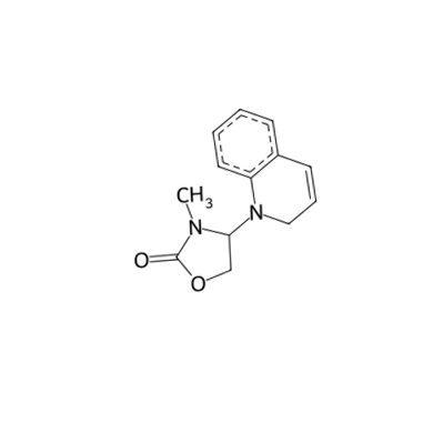 CN1C(=O)OCC1N1CC=Cc2ccccc21